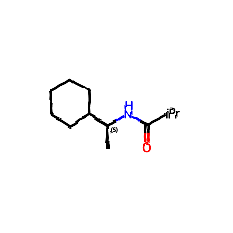 CC(C)C(=O)N[C@@H](C)C1CCCCC1